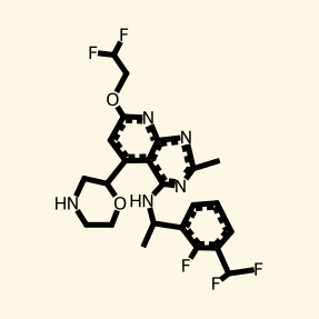 Cc1nc(NC(C)c2cccc(C(F)F)c2F)c2c(C3CNCCO3)cc(OCC(F)F)nc2n1